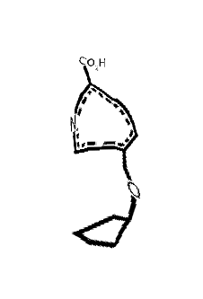 O=C(O)c1ccc(OC2CC2)cn1